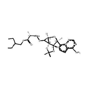 CCC(CC)COC(=O)[C@H](C)NOC1[C@H]2O[C@@](C)(c3ccc4c(N)ncnn34)[C@@H]3OC(C)(C)O[C@]123